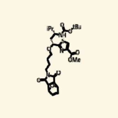 COC(=O)c1csc([C@@H](C[C@@H](NC(=O)OC(C)(C)C)C(C)C)OCCCCN2C(=O)C3C4C=CC(O4)C3C2=O)n1